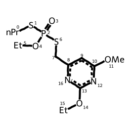 CCCSP(=O)(OCC)SCc1cc(OC)nc(OCC)n1